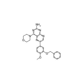 COc1ccc(-c2cnc3nc(N)nc(N4CCOCC4)c3n2)cc1OCc1ccccc1